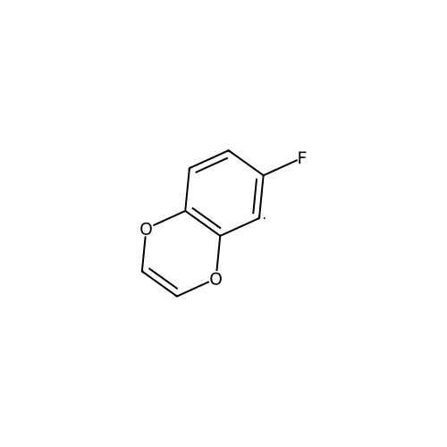 Fc1[c]c2c(cc1)OC=CO2